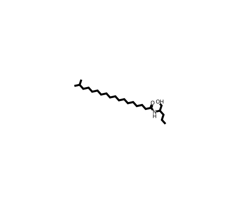 CCCC(CO)NC(=O)CCCCCCCCCCCCCCCC(C)C